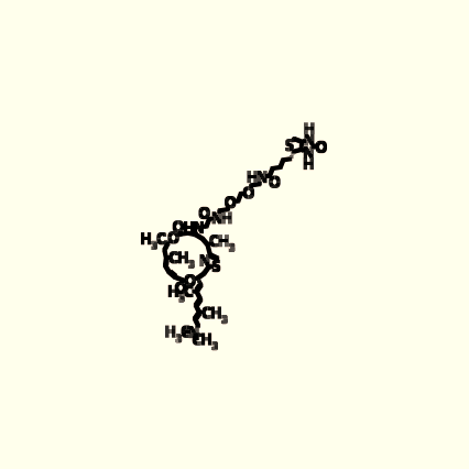 CC(/C=C/C(C)=C/[C@@H]1Cc2nc(cs2)C(C)C[C@@H](NCC(=O)NCCOCCOCCNC(=O)CCCC[C@@H]2SCC3NC(=O)NC32)CC(=O)O[C@@H](C)C/C(C)=C/C=C\C(=O)O1)=C\CN(C)C